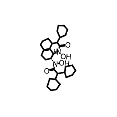 O=C(C(C1CCCCC1)C1CCCCC1)N(O)[C@@H]1CCC2=C3C(CCC2)C(C2CCCCC2)C(=O)N(O)[C@H]31